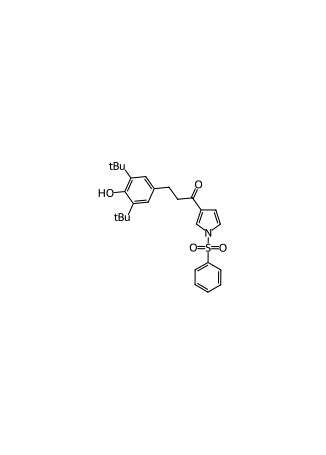 CC(C)(C)c1cc(CCC(=O)c2ccn(S(=O)(=O)c3ccccc3)c2)cc(C(C)(C)C)c1O